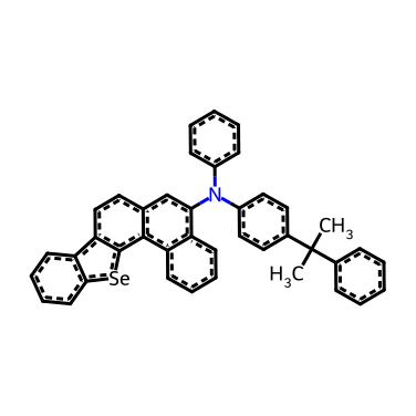 CC(C)(c1ccccc1)c1ccc(N(c2ccccc2)c2cc3ccc4c5ccccc5[se]c4c3c3ccccc23)cc1